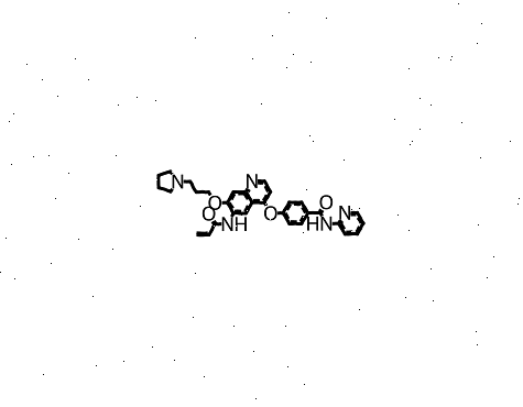 C=CC(=O)Nc1cc2c(Oc3ccc(C(=O)Nc4ccccn4)cc3)ccnc2cc1OCCCN1CCCC1